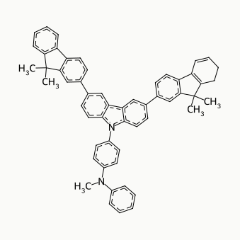 CN(c1ccccc1)c1ccc(-n2c3ccc(-c4ccc5c(c4)C(C)(C)C4=C5C=CCC4)cc3c3cc(-c4ccc5c(c4)C(C)(C)c4ccccc4-5)ccc32)cc1